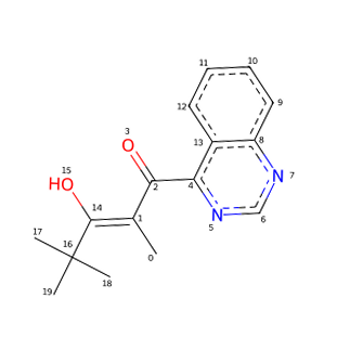 C/C(C(=O)c1ncnc2ccccc12)=C(/O)C(C)(C)C